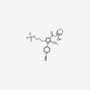 Cc1c(C(=O)CN2C3CCC2[C@@H](O)C3)cc(CCCOC(F)(F)F)n1-c1ccc(C#N)cc1